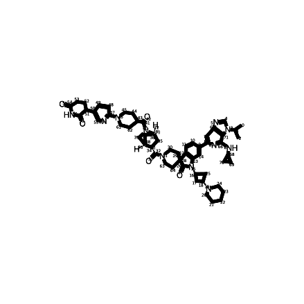 CC(C)n1cnc2cc(-c3ccc4c(c3)N([C@H]3C[C@@H](N5CCCCC5)C3)C(=O)C43CCN(C(=O)[C@H]4C[C@H]5C[C@@H]4CN5C(=O)C4CCN(c5ccc(C6CCC(=O)NC6=O)cn5)CC4)CC3)nc(NC3CC3)c21